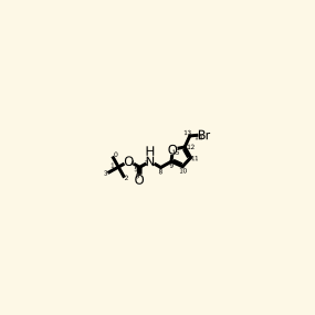 CC(C)(C)OC(=O)NCc1ccc(CBr)o1